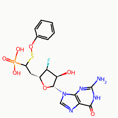 Nc1nc2c(ncn2[C@@H]2O[C@H](CC(SOc3ccccc3)P(=O)(O)O)[C@@H](F)[C@H]2O)c(=O)[nH]1